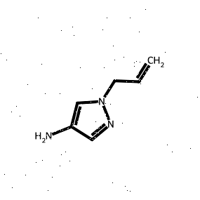 C=CCn1cc(N)cn1